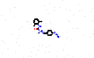 Cc1cccc(C)c1NC(=O)N(C)/N=C/c1ccc(N=[N+]=[N-])cc1